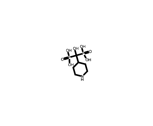 O=P(O)(O)C(O)(C1CCNCC1)P(=O)(O)O